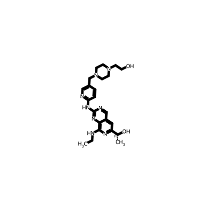 CCNc1nc([C@@H](C)O)cc2cnc(Nc3ccc(CN4CCN(CCO)CC4)cn3)nc12